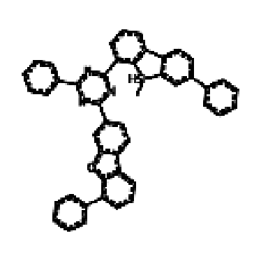 C[SiH]1c2cc(-c3ccccc3)ccc2-c2cccc(-c3nc(-c4ccccc4)nc(-c4ccc5c(c4)oc4c(-c6ccccc6)cccc45)n3)c21